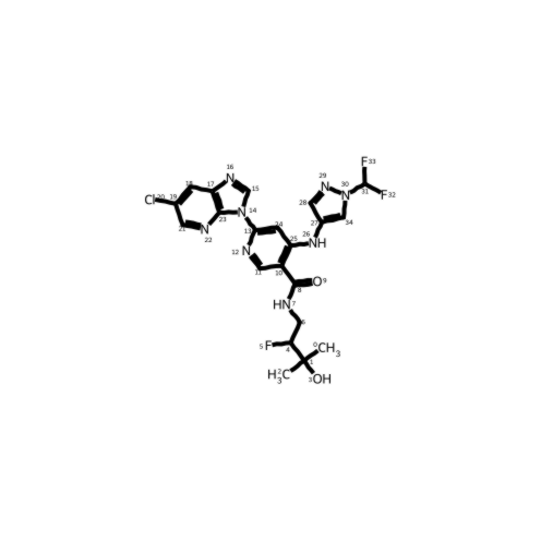 CC(C)(O)C(F)CNC(=O)c1cnc(-n2cnc3cc(Cl)cnc32)cc1Nc1cnn(C(F)F)c1